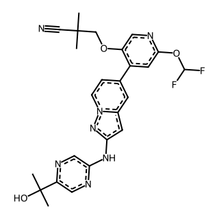 CC(C)(C#N)COc1cnc(OC(F)F)cc1-c1ccn2nc(Nc3cnc(C(C)(C)O)cn3)cc2c1